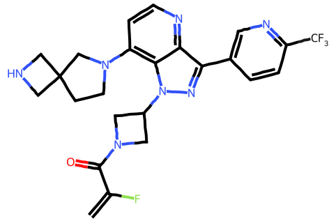 C=C(F)C(=O)N1CC(n2nc(-c3ccc(C(F)(F)F)nc3)c3nccc(N4CCC5(CNC5)C4)c32)C1